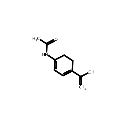 C=C(O)C1=CC=C(NC(C)=O)CC1